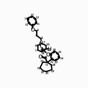 O=C(O[C@H]1C[N+]2(CCCOc3ccccc3)CCC1CC2)C1(c2ccccc2)CCCCCC1